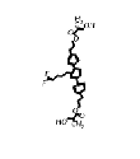 C=C(CO)C(=O)OCCCc1ccc(-c2ccc(-c3ccc(CCCOC(=O)C(=C)CO)cc3)c(CCCC=C(F)F)c2)cc1